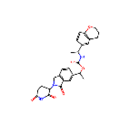 CC(NC(=O)OC(C)c1ccc2c(c1)C(=O)N(C1CCC(=O)NC1=O)C2)c1ccc2c(c1)CCCO2